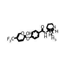 C[C@H]1[C@H](NC(=O)c2ccc(OC3(O)C=CC(C(F)(F)F)=CO3)cc2)C2CCN1CC2